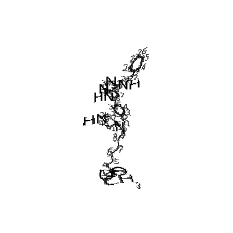 COC(=O)CCCCCCN(Cc1ccc(-c2cc3c(NCCc4ccccc4)ncnc3[nH]2)cc1)C1CCNCC1